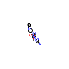 N#Cc1cnc(N2C[C@H]3CC[C@@H]2CN3C(=O)NC2CCCN(Cc3ccccc3)CCC2)nc1